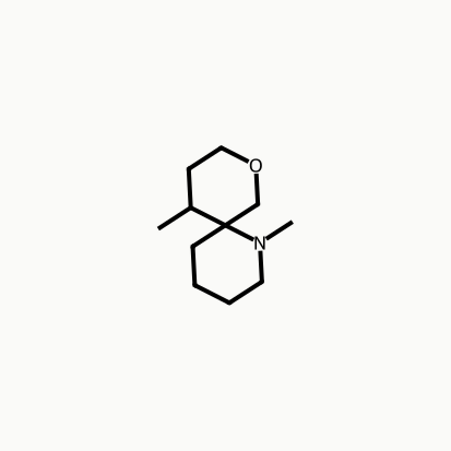 CC1CCOCC12CCCCN2C